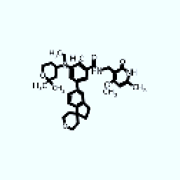 CCN(c1cc(-c2ccc3c(c2)CCC32CCOCC2)cc(C(=O)NCc2c(OC)cc(C)[nH]c2=O)c1C)C1CCOC(C)(C)C1